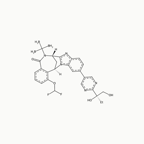 BC(B)(B)N1C(=O)c2cccc(OC(F)F)c2[C@H]2C[C@H]1c1nc3ccc(-c4cnc([C@@](O)(CC)CO)nc4)cc3n12